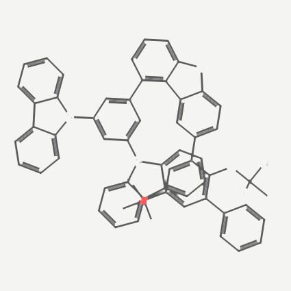 CCCC(C)(CC)Oc1c(-c2ccccc2)cc(C(C)(CCC)CCC)cc1-c1ccc2oc3cccc(-c4cc(-n5c6ccccc6c6ccccc65)cc(-n5c6ccccc6c6ccccc65)c4)c3c2c1